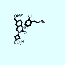 COCC1CC[C@@]2(c3ccc(CCC(C)(C)C)c(Cl)c3)NC(=O)N(C34CC(C(=O)O)(C3)C4)C=C2C1